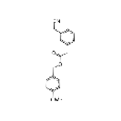 COc1ccc(COC(=O)Cc2cccc(CC#N)c2)cc1